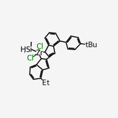 CCc1cccc2c1C=C(C)[CH]2[Zr]([Cl])([Cl])([CH]1C=Cc2c(-c3ccc(C(C)(C)C)cc3)cccc21)[SiH](C)C